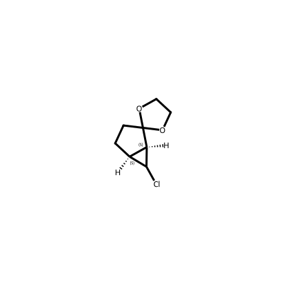 ClC1[C@H]2CCC3(OCCO3)[C@@H]12